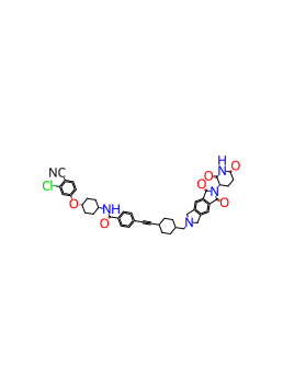 N#Cc1ccc(O[C@H]2CC[C@H](NC(=O)c3ccc(C#CC4CCC(CN5Cc6cc7c(cc6C5)C(=O)N(C5CCC(=O)NC5=O)C7=O)CC4)cc3)CC2)cc1Cl